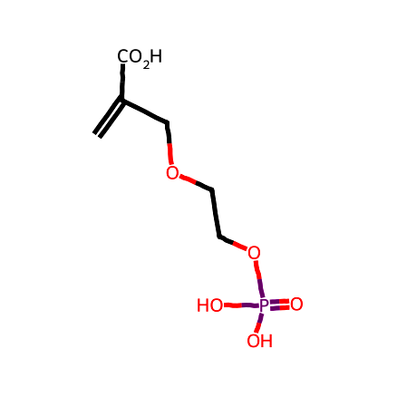 C=C(COCCOP(=O)(O)O)C(=O)O